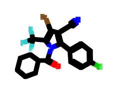 N#Cc1c(Br)c(C(F)(F)F)n(C(=O)C2CCCCC2)c1-c1ccc(Cl)cc1